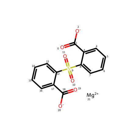 O=C([O-])c1ccccc1S(=O)(=O)c1ccccc1C(=O)[O-].[Mg+2]